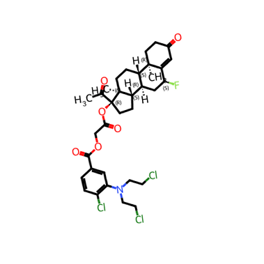 CC(=O)[C@@]1(OC(=O)COC(=O)c2ccc(Cl)c(N(CCCl)CCCl)c2)CC[C@H]2[C@@H]3C[C@H](F)C4=CC(=O)CC[C@]4(C)[C@H]3CC[C@@]21C